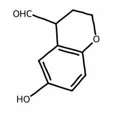 O=CC1CCOc2ccc(O)cc21